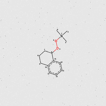 C[Si](C)(C)OOC1CCCc2ccccc21